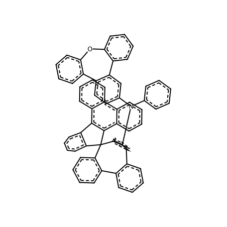 c1ccc(N(c2ccc3c(c2)-c2ccccc2Oc2ccccc2-3)c2ccc3c(c2)C2(c4ccccc4-c4ccccc4-3)c3ccccc3-c3c2c2ccccc2c2ccccc32)cc1